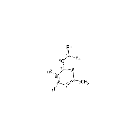 [CH2]c1cc(F)c(Br)c(OC(F)F)c1